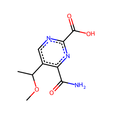 COC(C)c1cnc(C(=O)O)nc1C(N)=O